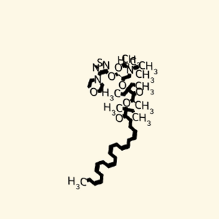 CC/C=C\C/C=C\C/C=C\C/C=C\C/C=C\C/C=C\CCC(=O)C(C)(CC)O[C@@H](C)C(=O)C(CC)(CC)O[C@H](COc1nsnc1N1CCOCC1)CN(C(C)=O)C(C)(C)C